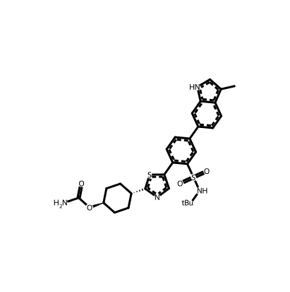 Cc1c[nH]c2cc(-c3ccc(-c4cnc([C@H]5CC[C@H](OC(N)=O)CC5)s4)c(S(=O)(=O)NC(C)(C)C)c3)ccc12